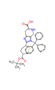 CC(C)(C)OC(=O)C1CCC(c2nc3c(n2C(c2ccccc2)(c2ccccc2)c2ccccc2)CN[C@H](C(=O)O)C3)SC1